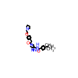 CC(C)(C)c1ccc(C(=O)Nc2[nH]nc3c2CN(C(=O)Cc2ccc(OCCN4CCCC4)cc2)C3)cc1